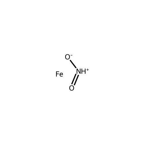 O=[NH+][O-].[Fe]